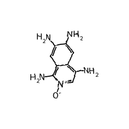 Nc1cc2c(N)c[n+]([O-])c(N)c2cc1N